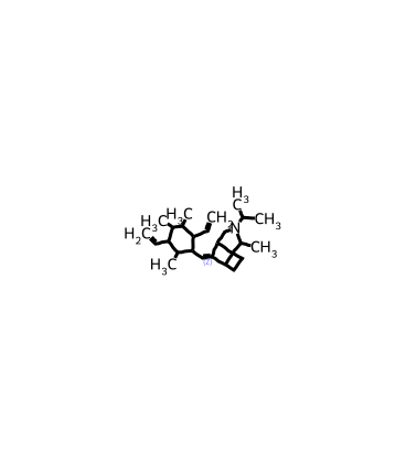 C=CC1C(C)C(C)C(C=C)C(/C=C2/C3CCC34C2CN(C(C)C)C4C)C1C